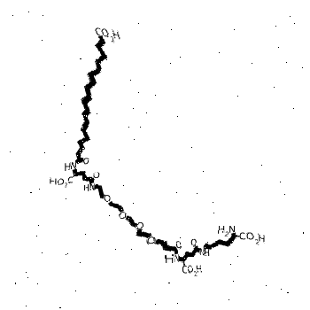 N[C@@H](CCCCNC(=O)CC[C@H](NC(=O)CCOCCOCCOCCOCCNC(=O)CC[C@H](NC(=O)CCCCCCCCCCCCCCCCCCC(=O)O)C(=O)O)C(=O)O)C(=O)O